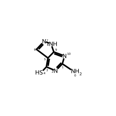 Nc1nc(S)c2cn[nH]c2n1